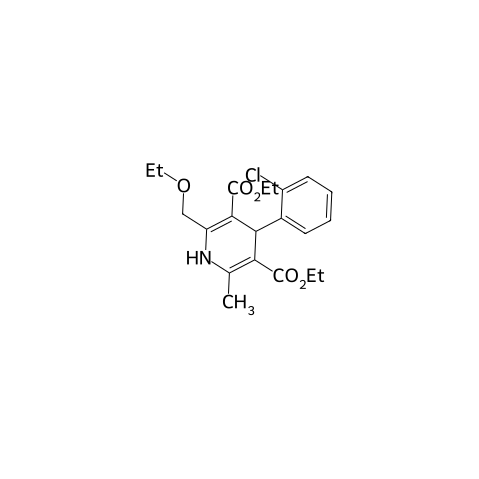 CCOCC1=C(C(=O)OCC)C(c2ccccc2Cl)C(C(=O)OCC)=C(C)N1